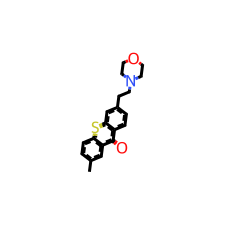 Cc1ccc2sc3cc(CCN4CCOCC4)ccc3c(=O)c2c1